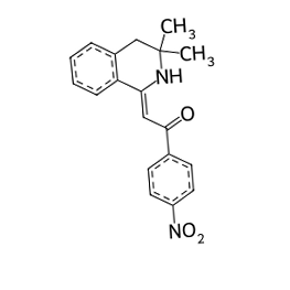 CC1(C)Cc2ccccc2C(=CC(=O)c2ccc([N+](=O)[O-])cc2)N1